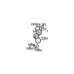 CCCCCC[C@]1(OCC)CC[C@H]2[C@@H]3CC=C4C[C@@H](O[Si](CCCC)(CCCC)CCCC)CC[C@]4(CO)[C@H]3CC[C@@]21C